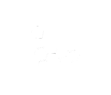 Cc1cc(O[C@H]2CCCOC2)cc(C(=O)Nc2ccccn2)n1